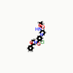 CC(C)(C)OC(=O)NC1CCCN(c2ccc(C(=O)N3CCOC(c4ccccc4)C3)c(Cl)c2)C1